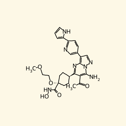 COCCO[C@]1(C(=O)NO)CC[C@@H](c2nc3c(-c4ccc(-c5ccc[nH]5)nc4)cnn3c(N)c2C(C)=O)CC1